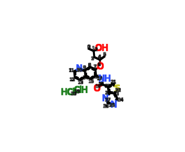 CC(O)CC(C)Oc1cc2ncccc2cc1NC(=O)c1csc2cncnc12.Cl.Cl